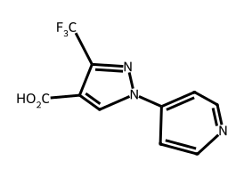 O=C(O)c1cn(-c2ccncc2)nc1C(F)(F)F